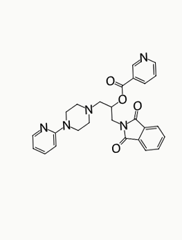 O=C(OC(CN1CCN(c2ccccn2)CC1)CN1C(=O)c2ccccc2C1=O)c1cccnc1